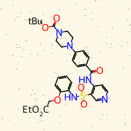 CCOC(=O)COc1ccccc1NS(=O)(=O)c1cnccc1NC(=O)c1ccc(N2CCN(C(=O)OC(C)(C)C)CC2)cc1